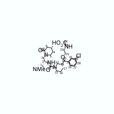 CNC[C@H](CN1CCCCC1=O)NC(=O)N1CCC[C@@H]([C@@H](OCCNC(=O)O)c2cccc(Cl)c2)C1